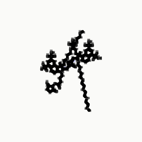 COCCOCCOCCOCCOCC[N+]1=C(/C=C2\C(=O)C(/C=C3/N(CCCC(=O)ON4C(=O)CCC4=O)c4ccc5c(S(=O)(=O)[O-])cc(S(=O)(=O)O)cc5c4C3(C)CCOCCOCCOCCOC)=C2O)C(C)(CCCS(=O)(=O)O)c2c1ccc1c(S(=O)(=O)O)cc(S(=O)(=O)O)cc21